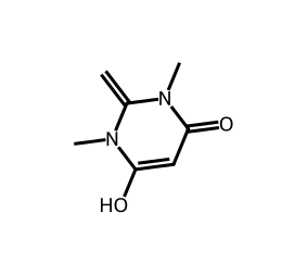 C=C1N(C)C(=O)C=C(O)N1C